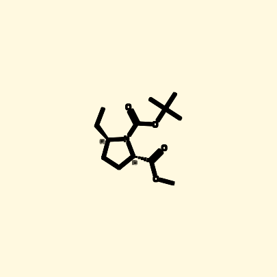 CC[C@@H]1CC[C@@H](C(=O)OC)N1C(=O)OC(C)(C)C